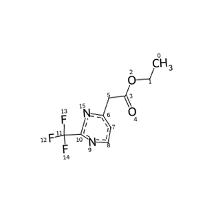 CCOC(=O)Cc1ccnc(C(F)(F)F)n1